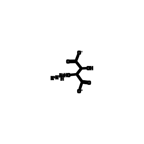 O=C([O-])C(O)C(O)C(=O)[O-].[K+].[K+].[NaH]